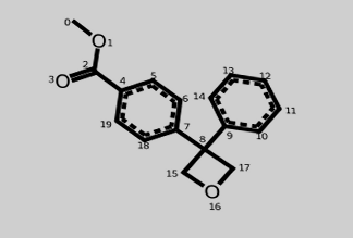 COC(=O)c1ccc(C2(c3ccccc3)COC2)cc1